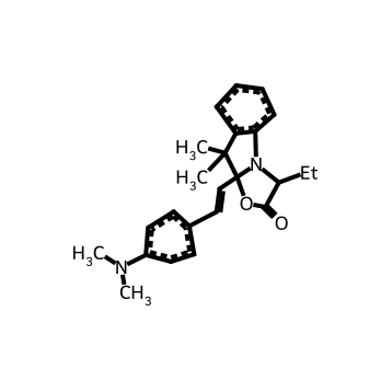 CCC1C(=O)OC2(/C=C/c3ccc(N(C)C)cc3)N1c1ccccc1C2(C)C